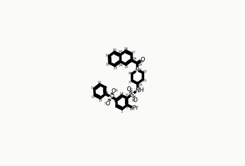 CC(C)c1ccc(S(=O)(=O)c2ccccc2)cc1S(=O)(=O)NC1CCN(C(=O)c2ccc3ccccc3c2)CC1